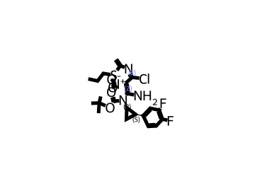 C=C(/N=C(Cl)\C(=C(/N)N(C(=O)OC(C)(C)C)[C@@H]1C[C@H]1c1ccc(F)c(F)c1)[N+](=O)[O-])SCCC